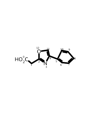 O=C(O)Cc1nc(-c2ccccc2)co1